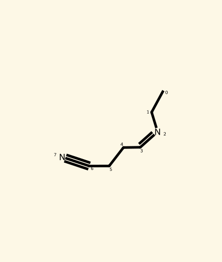 CC/N=C\CCC#N